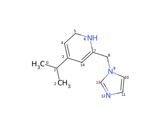 CC(C)C1=CCNC(Cn2ccnc2)=C1